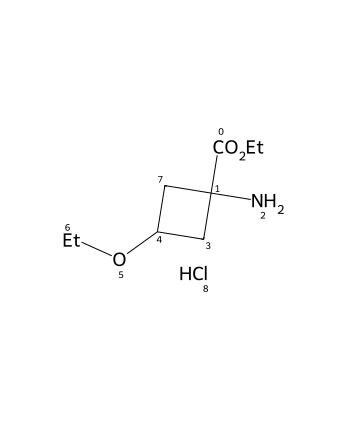 CCOC(=O)C1(N)CC(OCC)C1.Cl